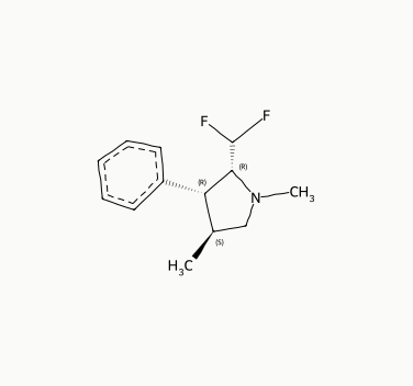 C[C@@H]1CN(C)[C@@H](C(F)F)[C@H]1c1ccccc1